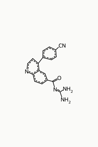 N#Cc1ccc(-c2ccnc3ccc(C(=O)N=C(N)N)cc23)cc1